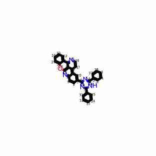 c1ccc(C2=NC(c3ccc4nc5c6c(nccc6c4c3)-c3ccccc3O5)=NC(c3ccccc3)N2)cc1